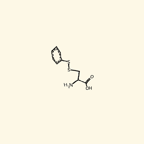 NC(CSSc1ccccc1)C(=O)O